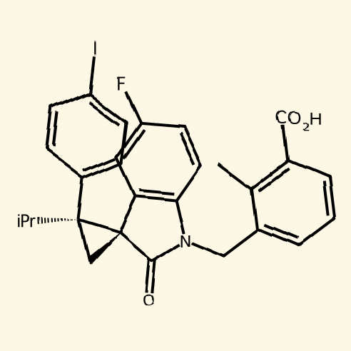 Cc1c(CN2C(=O)[C@@]3(C[C@]3(c3ccc(I)cc3)C(C)C)c3cc(F)ccc32)cccc1C(=O)O